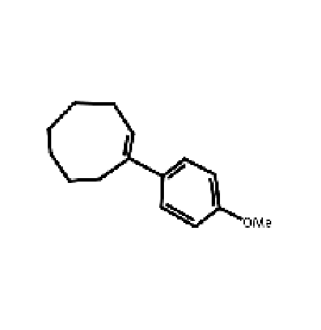 COc1ccc(/C2=C/CCCCCC2)cc1